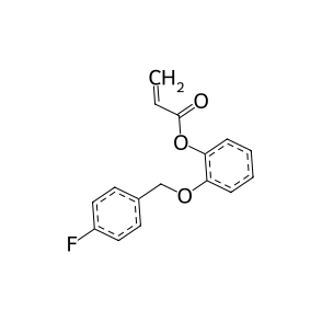 C=CC(=O)Oc1ccccc1OCc1ccc(F)cc1